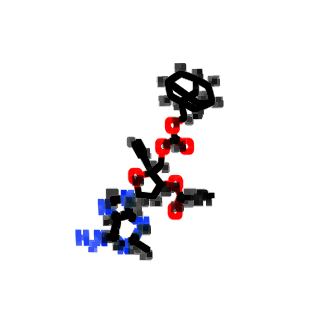 C#C[C@]1(COC(=O)OCC23CC4CC(CC(C4)C2)C3)O[C@@H](n2cnc3c(N)nc(C)nc32)C[C@@H]1OC(=O)C(C)C